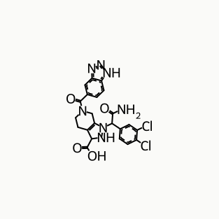 NC(=O)C(c1ccc(Cl)c(Cl)c1)N1NC(C(=O)O)C2=C1CN(C(=O)c1ccc3[nH]nnc3c1)CC2